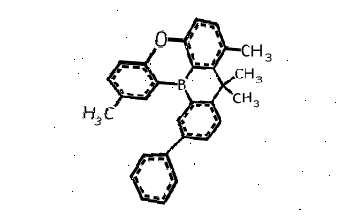 Cc1ccc2c(c1)B1c3cc(-c4ccccc4)ccc3C(C)(C)c3c(C)ccc(c31)O2